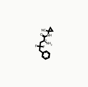 N#CC1(NC(=O)[C@@H](N)CC(F)(F)Cc2ccccc2)CC1